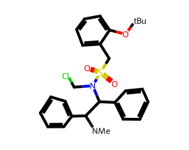 CNC(c1ccccc1)C(c1ccccc1)N(CCl)S(=O)(=O)Cc1ccccc1OC(C)(C)C